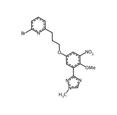 COc1c(-c2ncn(C)n2)cc(OCCCc2cccc(Br)n2)cc1[N+](=O)[O-]